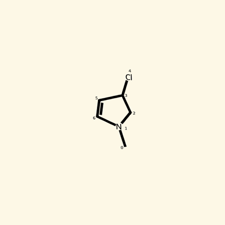 CN1[CH]C(Cl)C=C1